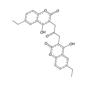 CCc1ccc2oc(=O)c(CC(=O)Cc3c(O)c4cc(CC)ccc4oc3=O)c(O)c2c1